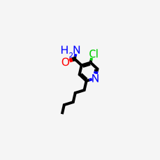 CCCCCc1cc(C(N)=O)c(Cl)cn1